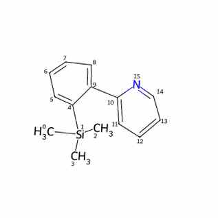 C[Si](C)(C)c1ccccc1-c1ccccn1